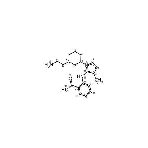 Cc1cnn(C2CCCN(CCN)C2)c1Nc1cnccc1C(=O)O